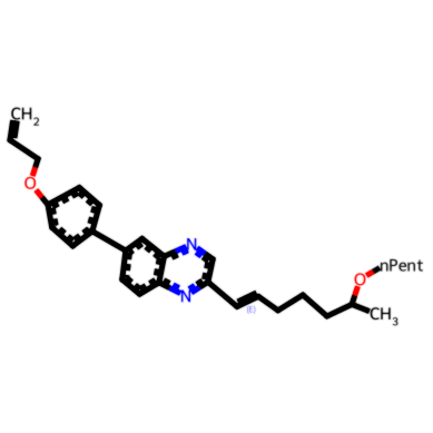 C=CCOc1ccc(-c2ccc3nc(/C=C/CCCC(C)OCCCCC)cnc3c2)cc1